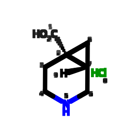 Cl.O=C(O)[C@@]12CCNC[C@H]1C2